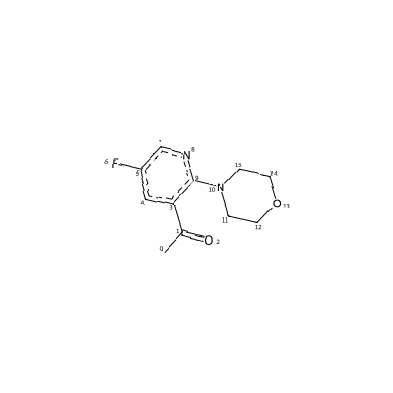 CC(=O)c1cc(F)cnc1N1CCOCC1